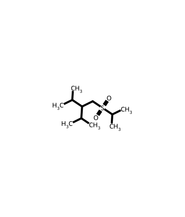 CC(C)C(CS(=O)(=O)C(C)C)C(C)C